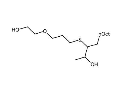 CCCCCCCCCC(SCCCOCCO)C(C)O